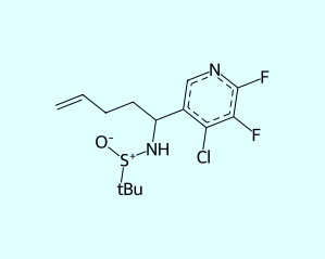 C=CCCC(N[S+]([O-])C(C)(C)C)c1cnc(F)c(F)c1Cl